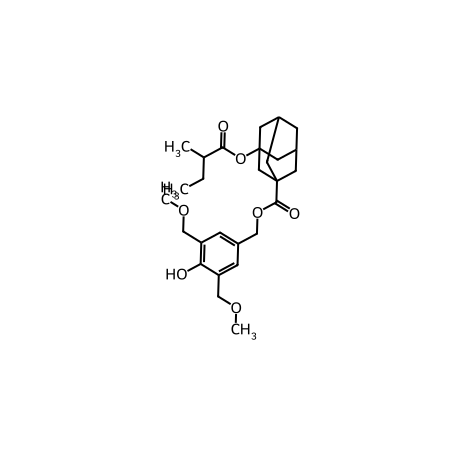 CCC(C)C(=O)OC12CC3CC(C1)CC(C(=O)OCc1cc(COC)c(O)c(COC)c1)(C3)C2